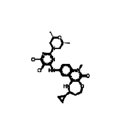 C[C@@H]1CN(c2nc(Cl)c(Cl)c(Nc3ccc4c(c3)c3c(c(=O)n4C)OCCC(C4CC4)N3)n2)C[C@H](C)O1